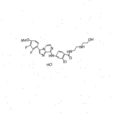 CCc1cc(Nc2nccn3c(-c4ccc(OC)c(F)c4F)cnc23)ccc1C(=O)NCCNCCO.Cl